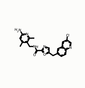 Cc1cc(N)nc(C)c1CNC(=O)c1ncc(Cc2ccc3ncc(Cl)cc3c2)o1